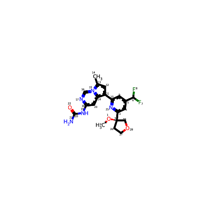 CO[C@]1(c2cc(C(F)F)cc(-c3cc(C)n4cnc(NC(N)=O)cc34)n2)CCOC1